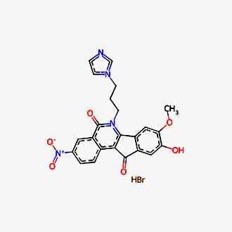 Br.COc1cc2c(cc1O)C(=O)c1c-2n(CCCn2ccnc2)c(=O)c2cc([N+](=O)[O-])ccc12